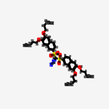 CCCCCCCCCCCCOc1cc2ccc(S(=O)(=O)C(=[N+]=[N-])S(=O)(=O)c3ccc4cc(OCCCCCCCCCCCC)c(OCCCCCCCCCCCC)cc4c3)cc2cc1OCCCCCCCCCCCC